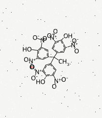 CC(c1cc([N+](=O)[O-])c(O)c([N+](=O)[O-])c1)(c1cc([N+](=O)[O-])c(O)c([N+](=O)[O-])c1)c1cc([N+](=O)[O-])c(O)c([N+](=O)[O-])c1